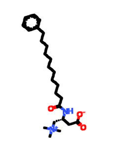 C[N+](C)(C)C[C@@H](CC(=O)[O-])NC(=O)CCCCCCCCCCCc1ccccc1